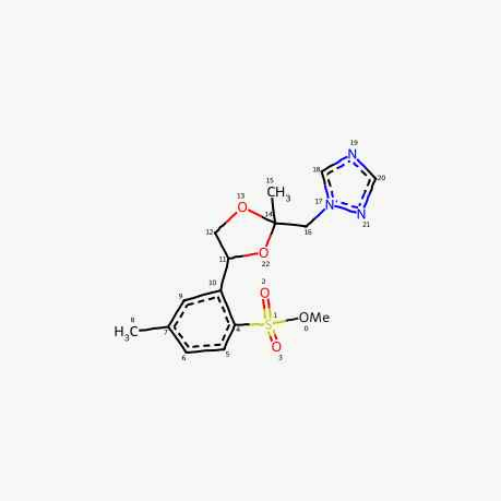 COS(=O)(=O)c1ccc(C)cc1C1COC(C)(Cn2cncn2)O1